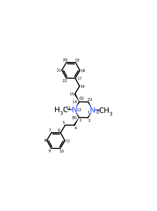 CN1C[C@@H](CCc2ccccc2)N(C)[C@@H](CCc2ccccc2)C1